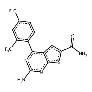 NC(=O)c1cc2c(-c3ccc(C(F)(F)F)cc3C(F)(F)F)nc(N)nc2s1